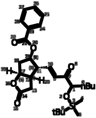 CCCCC(O[Si](C)(C)C(C)(C)C)C(=O)C=C[C@@H]1[C@H]2CC(=O)O[C@H]2C[C@H]1OC(=O)c1ccccc1